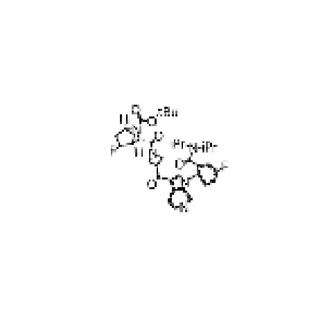 CC(C)N(C(=O)c1cc(F)ccc1-n1cc(C(=O)C2CN(C(=O)[C@@H]3[C@@H]4C[C@@H](C[C@@H]4F)N3C(=O)OC(C)(C)C)C2)c2ccncc21)C(C)C